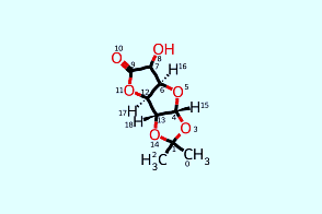 CC1(C)O[C@H]2O[C@@H]3C(O)C(=O)O[C@@H]3[C@H]2O1